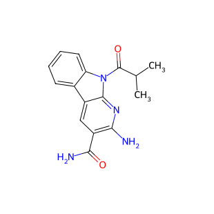 CC(C)C(=O)n1c2ccccc2c2cc(C(N)=O)c(N)nc21